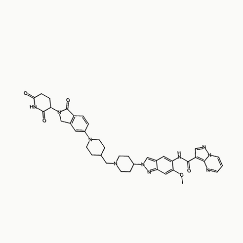 COc1cc2nn(C3CCN(CC4CCN(c5ccc6c(c5)CN(C5CCC(=O)NC5=O)C6=O)CC4)CC3)cc2cc1NC(=O)c1cnn2cccnc12